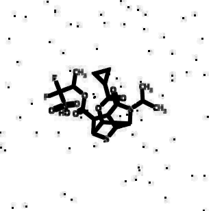 CC(C)N1C(=O)C2C3SC(C(OC(=O)C4CC4)C31)C2C(=O)OC(C)C(F)(F)S(=O)(=O)O